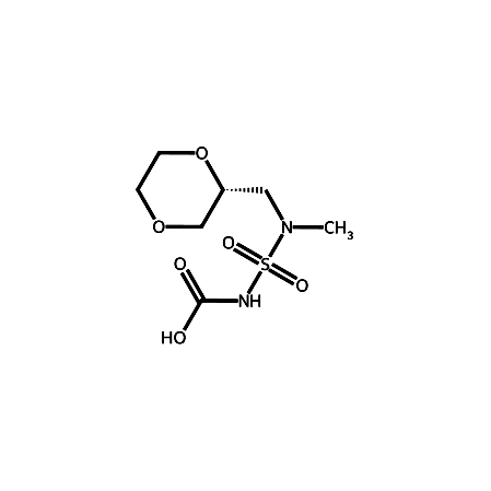 CN(C[C@@H]1COCCO1)S(=O)(=O)NC(=O)O